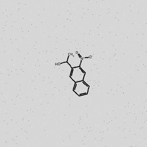 CC(O)c1cc2ccccc2cc1[N+](=O)[O-]